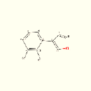 Cc1cccc(-c2c[c]oc2)c1C